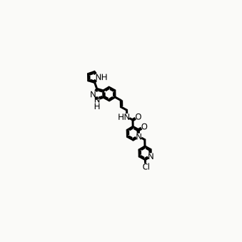 O=C(NCC=Cc1ccc2c(-c3ccc[nH]3)n[nH]c2c1)c1cccn(Cc2ccc(Cl)nc2)c1=O